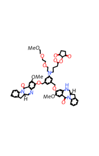 COCCOCCOCCN(CCCC(=O)OC1C(=O)CCC1=O)c1cc(COc2cc3c(cc2OC)C(=O)N2c4ccccc4C[C@H]2C=N3)cc(COc2cc3c(cc2OC)C(=O)N2c4ccccc4C[C@H]2CN3)c1